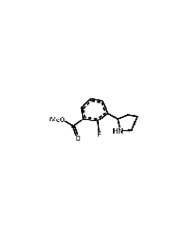 COC(=O)c1cccc(C2CCCN2)c1F